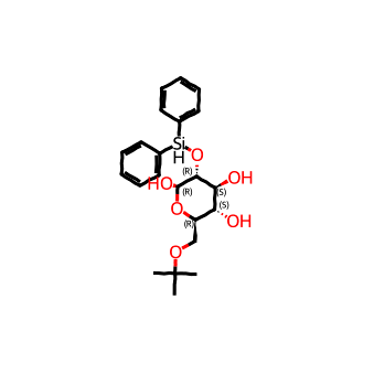 CC(C)(C)OC[C@H]1O[C@@H](O)[C@H](O[SiH](c2ccccc2)c2ccccc2)[C@@H](O)[C@@H]1O